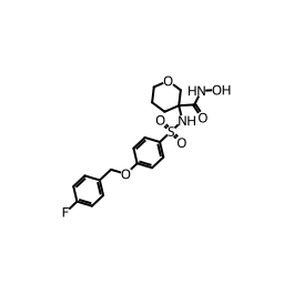 O=C(NO)C1(NS(=O)(=O)c2ccc(OCc3ccc(F)cc3)cc2)CCCOC1